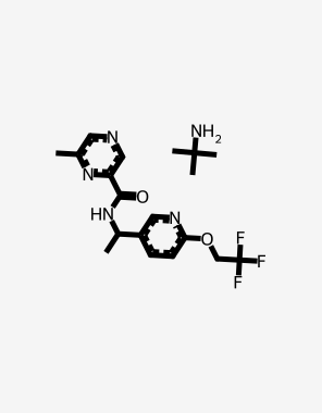 CC(C)(C)N.Cc1cncc(C(=O)NC(C)c2ccc(OCC(F)(F)F)nc2)n1